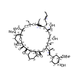 C/C=C/C[C@@H]1/C=C(\C)C[C@H](C)C[C@H](OC)[C@H]2O[C@@](O)(C(=O)C(=O)N3CCCC[C@H]3C(=O)O[C@H](/C(C)=C/[C@@H]3CC[C@@H](O)[C@H](OC)C3)[C@H](C)[C@@H](O)C/C1=N/O)[C@H](C)C[C@@H]2OC